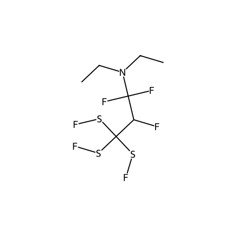 CCN(CC)C(F)(F)C(F)C(SF)(SF)SF